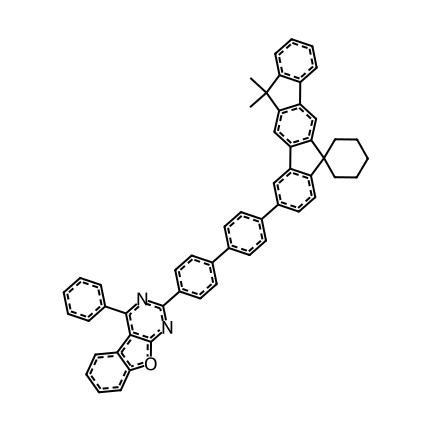 CC1(C)c2ccccc2-c2cc3c(cc21)-c1cc(-c2ccc(-c4ccc(-c5nc(-c6ccccc6)c6c(n5)oc5ccccc56)cc4)cc2)ccc1C31CCCCC1